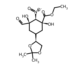 CCOC(=O)[C@]1(O)CC([C@H]2COC(C)(C)O2)C[C@](O)(C=O)[C@H]1[N+](=O)[O-]